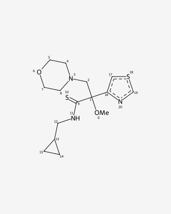 COC(CN1CCOCC1)(C(=S)NCC1CC1)c1cscn1